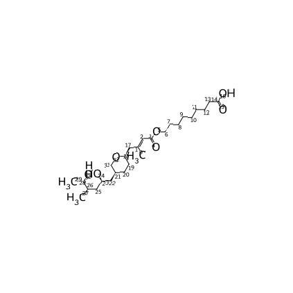 C/C(=C\C(=O)OCCCCCCCCC(=O)O)C[C@H]1CC[C@@H](C[C@H](O)C[C@@H](C)[C@H](C)O)CO1